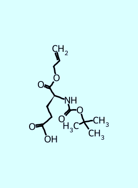 C=CCOC(=O)[C@H](CCC(=O)O)NC(=O)OC(C)(C)C